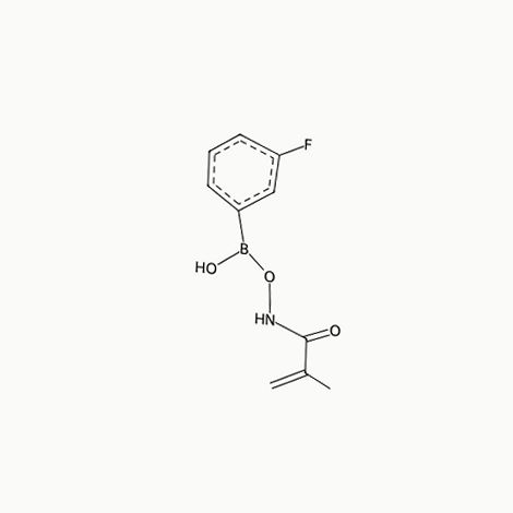 C=C(C)C(=O)NOB(O)c1cccc(F)c1